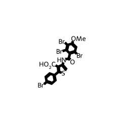 COc1cc(Br)c(C(=O)Nc2csc(-c3ccc(Br)cc3)c2C(=O)O)c(Br)c1Br